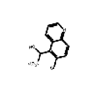 O=C(O)C(O)c1c(Br)ccc2ncccc12